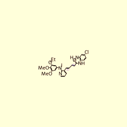 CCOc1cc(N(I)c2ncccc2/C=C/C=C/C(=O)Nc2ccc(Cl)cc2N)cc(OC)c1OC